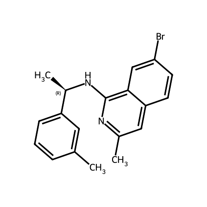 Cc1cccc([C@@H](C)Nc2nc(C)cc3ccc(Br)cc23)c1